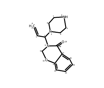 C=CC(N1CCNCC1)N1COc2ccccc2C1=O